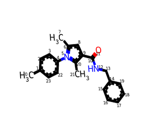 Cc1ccc(-n2c(C)cc(C(=O)NCc3ccccc3)c2C)cc1